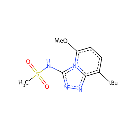 COc1ccc(C(C)(C)C)c2nnc(NS(C)(=O)=O)n12